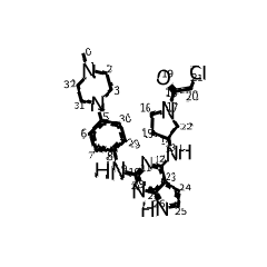 CN1CCN(c2ccc(Nc3nc(NC4CCN(C(=O)CCl)C4)c4cc[nH]c4n3)cc2)CC1